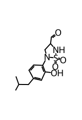 CC(C)Cc1ccc(N2CC(C=O)NS2(=O)=O)c(O)c1